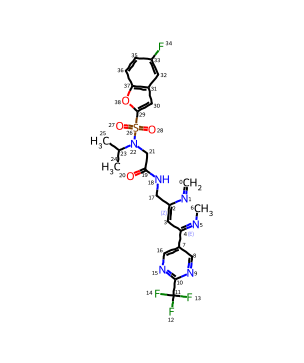 C=N/C(=C\C(=N/C)c1cnc(C(F)(F)F)nc1)CNC(=O)CN(C(C)C)S(=O)(=O)c1cc2cc(F)ccc2o1